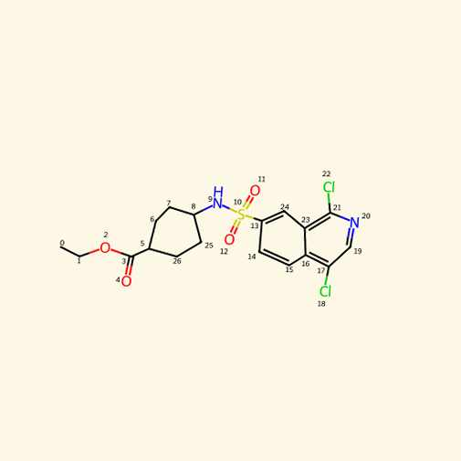 CCOC(=O)C1CCC(NS(=O)(=O)c2ccc3c(Cl)cnc(Cl)c3c2)CC1